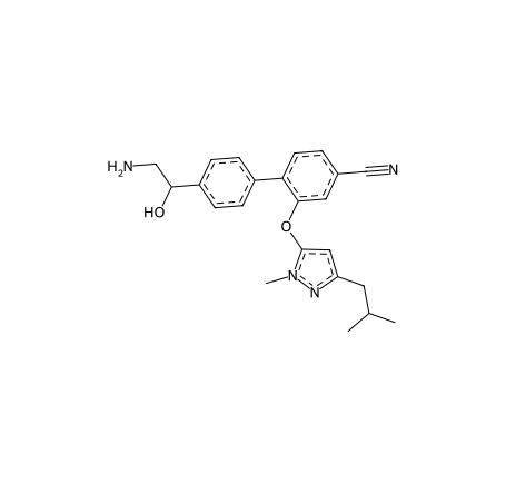 CC(C)Cc1cc(Oc2cc(C#N)ccc2-c2ccc(C(O)CN)cc2)n(C)n1